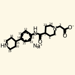 O=C([O-])CN1CCC(C(=O)Nc2ccc(C3CCNCC3)cc2)CC1.[Na+]